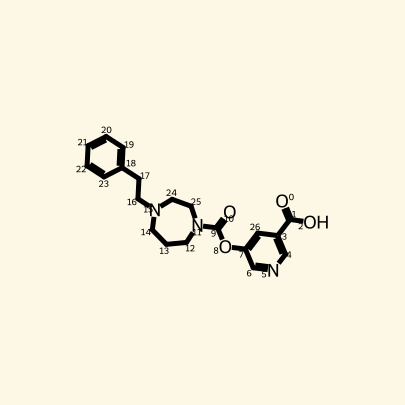 O=C(O)c1cncc(OC(=O)N2CCCN(CCc3ccccc3)CC2)c1